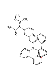 CO/C(C)=C(\C(C)=O)c1ccc2ccc(N(c3ccccc3-c3ccccc3)c3ccccc3-c3ccccc3)cc2c1